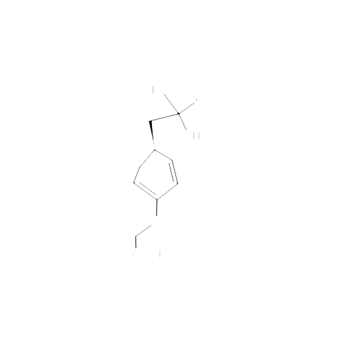 CCC(C)(C)C[C@H]1C=CC(OCC(=O)O)=CC1